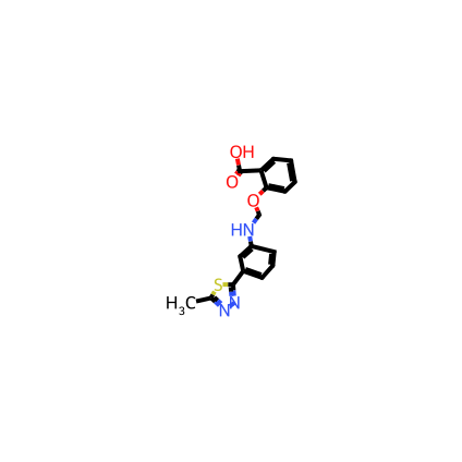 Cc1nnc(-c2cccc(NCOc3ccccc3C(=O)O)c2)s1